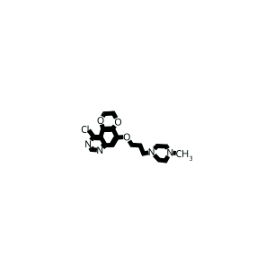 CN1CCN(CCCOc2cc3ncnc(Cl)c3c3c2OCCO3)CC1